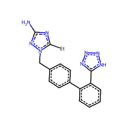 CCc1nc(N)nn1Cc1ccc(-c2ccccc2-c2nnn[nH]2)cc1